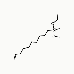 C=CCCCCCCCC[Si](C)(OC)OCC